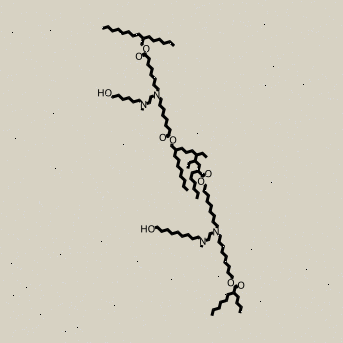 CCCCCCCCC(CCCCCC)COC(=O)CCCCCCCN(CCCCCCCC(=O)OCC(CCCCCCCC)CCCC(CC)C(CC)CC(CCCCCC)C(=O)OCCCCCCCCCN(CCCCCCCCCOC(=O)C(CCCC)CCCCCC)CCN(C)CCCCCCCCCO)CCN(C)CCCCCCO